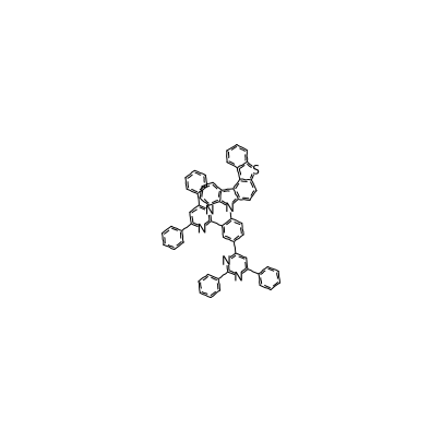 c1ccc(-c2cc(-c3ccc(-n4c5ccccc5c5c6c(ccc54)sc4ccccc46)c(-c4nc(-c5ccccc5)cc(-c5ccccc5)n4)c3)nc(-c3ccccc3)n2)cc1